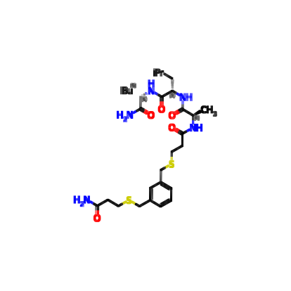 CC[C@H](C)[C@H](NC(=O)[C@H](CC(C)C)NC(=O)[C@@H](C)NC(=O)CCSCc1cccc(CSCCC(N)=O)c1)C(N)=O